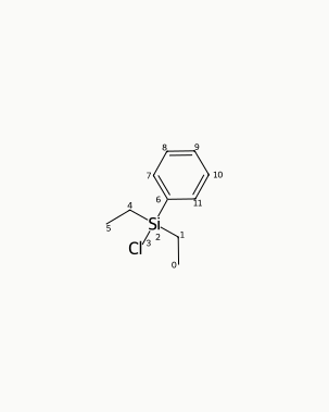 CC[Si](Cl)(CC)c1ccccc1